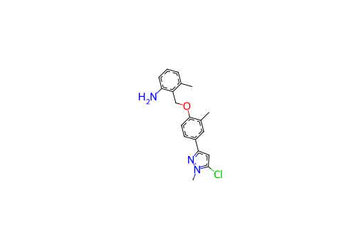 Cc1cc(-c2cc(Cl)n(C)n2)ccc1OCc1c(C)cccc1N